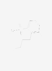 NS(=O)(=O)c1cccc(Cl)c1CCC[O]